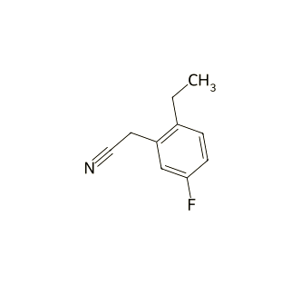 CCc1ccc(F)cc1CC#N